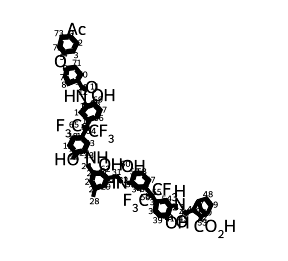 CC(=O)c1ccc(Oc2ccc(C(=O)Nc3cc(C(c4ccc(O)c(NCc5cc(C)cc(CNc6cc(C(c7ccc(O)c(NC(=O)C8C9C=CC(C9)C8C(=O)O)c7)(C(F)(F)F)C(F)(F)F)ccc6O)c5O)c4)(C(F)(F)F)C(F)(F)F)ccc3O)cc2)cc1